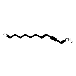 C=CC#CC=CCCCCCC=O